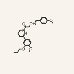 CCCOc1cc(C2=NN(C(=O)CO/N=C/c3ccc(OC)cc3)CCC2)ccc1OC